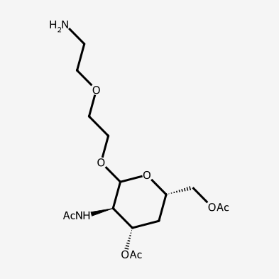 CC(=O)N[C@H]1C(OCCOCCN)O[C@H](COC(C)=O)C[C@@H]1OC(C)=O